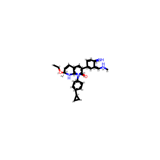 CCO[C@@]1(C)C=Cc2cc(C3=C/C(=C/NC)C(=N)C=C3)c(=O)n(-c3ccc(C4CC4)cc3)c2N1